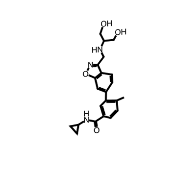 Cc1ccc(C(=O)NC2CC2)cc1-c1ccc2c(CNC(CO)CO)noc2c1